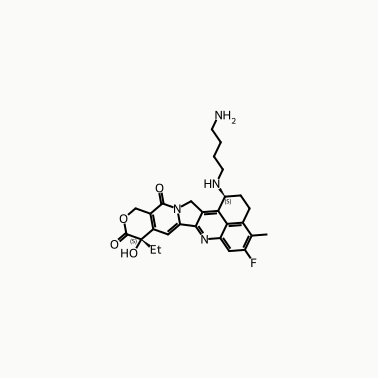 CC[C@@]1(O)C(=O)OCc2c1cc1n(c2=O)Cc2c-1nc1cc(F)c(C)c3c1c2[C@@H](NCCCCN)CC3